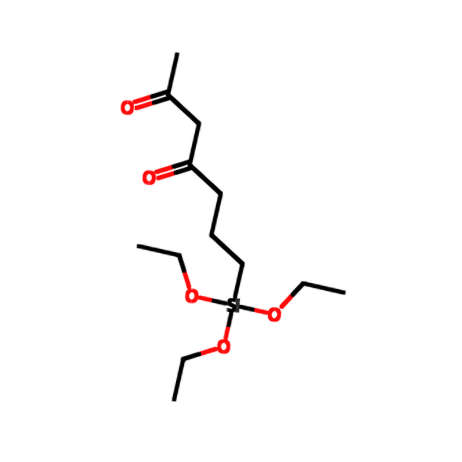 CCO[Si](CCCC(=O)CC(C)=O)(OCC)OCC